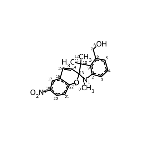 CN1c2cccc(CO)c2C(C)(C)C12C=Cc1cc([N+](=O)[O-])ccc1O2